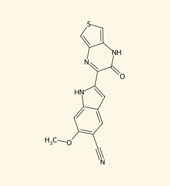 COc1cc2[nH]c(-c3nc4cscc4[nH]c3=O)cc2cc1C#N